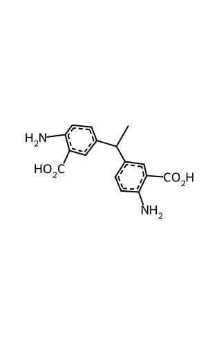 CC(c1ccc(N)c(C(=O)O)c1)c1ccc(N)c(C(=O)O)c1